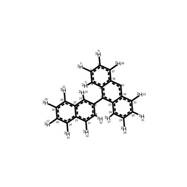 [2H]c1c([2H])c([2H])c2c(-c3c([2H])c([2H])c4c([2H])c([2H])c([2H])c([2H])c4c3[2H])c3c([2H])c([2H])c([2H])c([2H])c3cc2c1[2H]